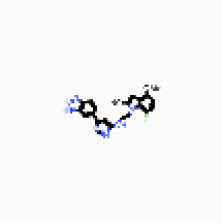 COc1ccc(F)c2c1cc(C#N)n2CCNc1cc(-c2ccc3nn[nH]c3c2)ncn1